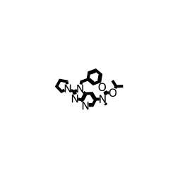 CC(C)OC(=O)N(C)c1cnc2nc(N3CCCC3)n(Cc3ccccc3)c2c1